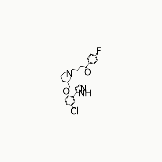 O=C(CCCN1CCCC(COc2ccc(Cl)cc2-c2ccn[nH]2)C1)c1ccc(F)cc1